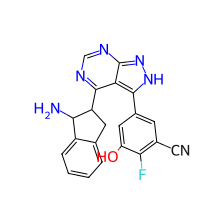 N#Cc1cc(-c2[nH]nc3ncnc(C4Cc5ccccc5C4N)c23)cc(O)c1F